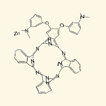 CN(C)c1cccc(Oc2cc3c4nc5nc(nc6[nH]c(nc7nc(nc([nH]4)c3cc2Oc2cccc(N(C)C)c2)-c2ccccc2-7)c2ccccc62)-c2ccccc2-5)c1.[Zn]